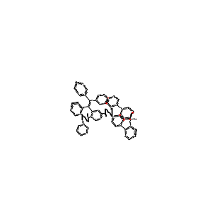 CC1(C)c2ccccc2-c2ccc(N(c3ccc4c(c3)C(=C(c3ccccc3)c3ccccc3)c3ccccc3N4c3ccccc3)c3ccccc3-c3ccccc3)cc21